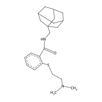 CN(C)CCSc1ccccc1C(=O)NCC12CC3CC(CC(C3)C1)C2